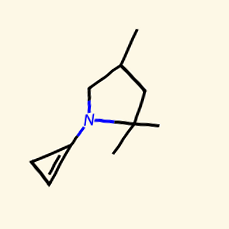 CC1CN(C2=CC2)C(C)(C)C1